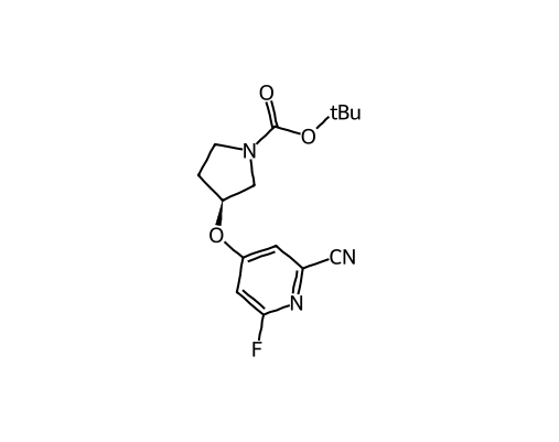 CC(C)(C)OC(=O)N1CC[C@H](Oc2cc(F)nc(C#N)c2)C1